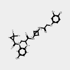 O=C(COc1ccc(Cl)c(F)c1)NC12CC(NC(=O)C3CN(C(=O)C4CC4(F)F)c4cc(Cl)ccc4O3)(C1)C2